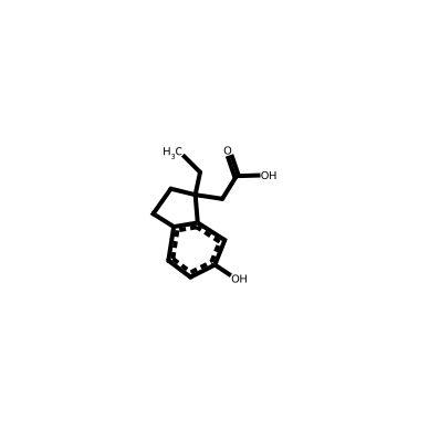 CCC1(CC(=O)O)CCc2ccc(O)cc21